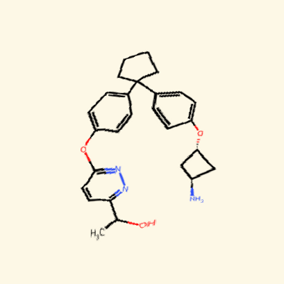 CC(O)c1ccc(Oc2ccc(C3(c4ccc(O[C@H]5C[C@H](N)C5)cc4)CCCC3)cc2)nn1